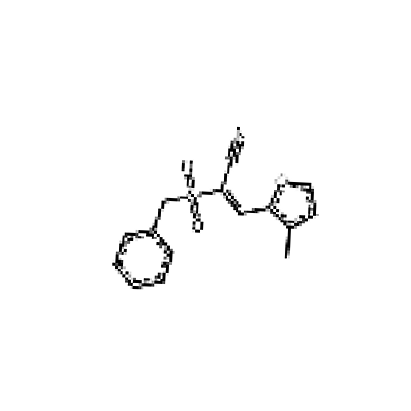 Cc1ccoc1C=C(C#N)S(=O)(=O)Cc1ccccc1